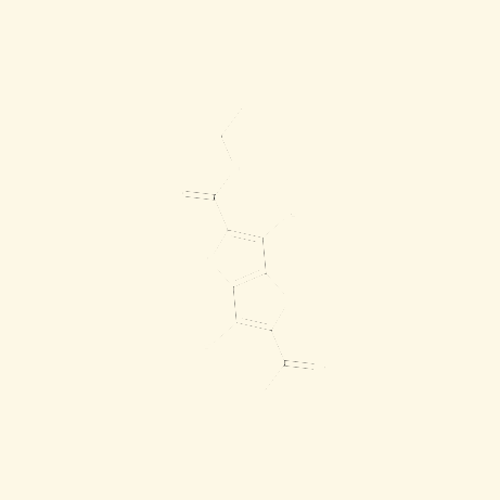 CCOC(=O)c1sc2c(Br)c(C(C)=O)sc2c1Br